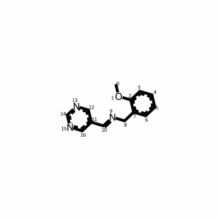 COc1ccccc1CN=Cc1cncnc1